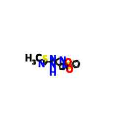 Cc1ncc(-c2nc3cnc4c(ccn4S(=O)(=O)c4ccccc4)c3[nH]2)s1